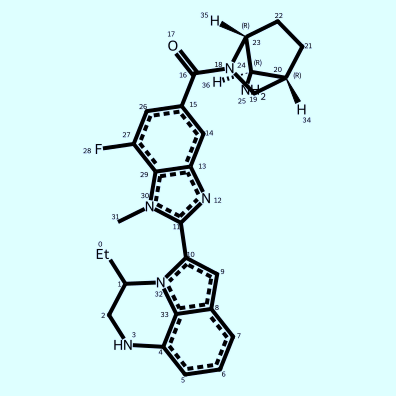 CCC1CNc2cccc3cc(-c4nc5cc(C(=O)N6C[C@H]7CC[C@@H]6[C@@H]7N)cc(F)c5n4C)n1c23